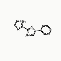 c1ccc(-c2c[nH]c(-c3ncc[nH]3)n2)cc1